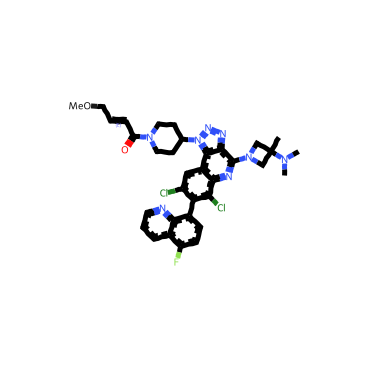 COC/C=C/C(=O)N1CCC(n2nnc3c(N4CC(C)(N(C)C)C4)nc4c(Cl)c(-c5ccc(F)c6cccnc56)c(Cl)cc4c32)CC1